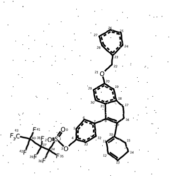 O=S(=O)(Oc1ccc(C2=C(C3=CC=CCC3)CCc3cc(OCc4ccccc4)ccc32)cc1)C(F)(F)C(F)(F)C(F)(F)C(F)(F)F